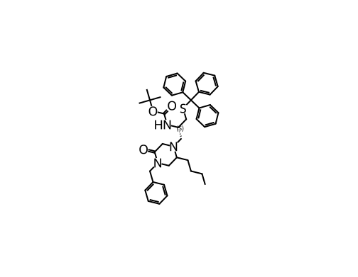 CCCCC1CN(Cc2ccccc2)C(=O)CN1C[C@@H](CSC(c1ccccc1)(c1ccccc1)c1ccccc1)NC(=O)OC(C)(C)C